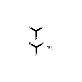 FC(F)F.FC(F)F.N